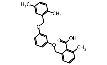 Cc1ccc(C)c(COc2cccc(OCc3cccc(C)c3C(=O)O)c2)c1